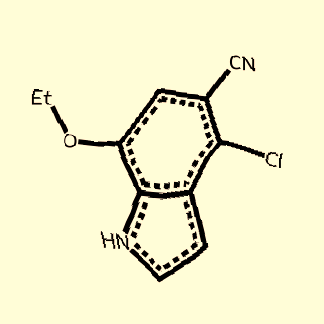 CCOc1cc(C#N)c(Cl)c2cc[nH]c12